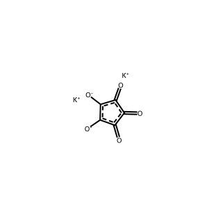 O=c1c([O-])c([O-])c(=O)c1=O.[K+].[K+]